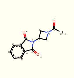 CC(=O)N1CC(N2C(=O)c3ccccc3C2=O)C1